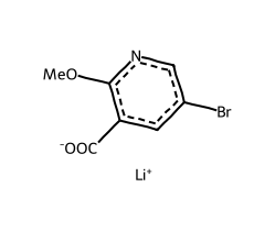 COc1ncc(Br)cc1C(=O)[O-].[Li+]